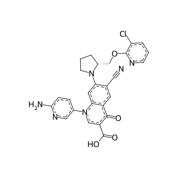 N#Cc1cc2c(=O)c(C(=O)O)cn(-c3ccc(N)nc3)c2cc1N1CCC[C@@H]1COc1ncccc1Cl